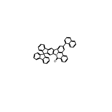 O=c1c2ccccc2c2cc(-c3cccc4ccccc34)cc3c4cc5c(cc4n1c23)C1(c2ccccc2-c2ccccc21)c1ccccc1-5